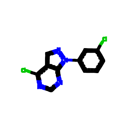 Clc1cccc(-n2ncc3c(Cl)ncnc32)c1